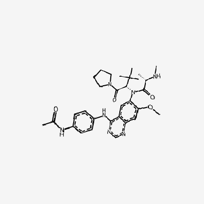 CN[C@@H](C)C(=O)N(c1cc2c(Nc3ccc(NC(C)=O)cc3)ncnc2cc1OC)[C@H](C(=O)N1CCCC1)C(C)(C)C